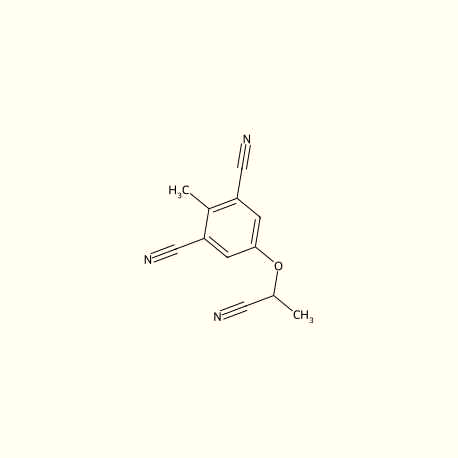 Cc1c(C#N)cc(OC(C)C#N)cc1C#N